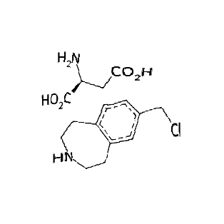 ClCc1ccc2c(c1)CCNCC2.N[C@@H](CC(=O)O)C(=O)O